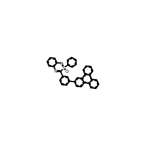 O=S1(c2ccccc2)=Nc2ccccc2N=C1c1cccc(-c2ccc3c4ccccc4c4ccccc4c3c2)c1